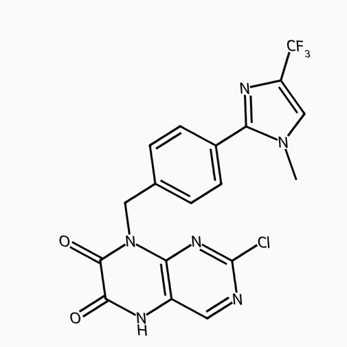 Cn1cc(C(F)(F)F)nc1-c1ccc(Cn2c(=O)c(=O)[nH]c3cnc(Cl)nc32)cc1